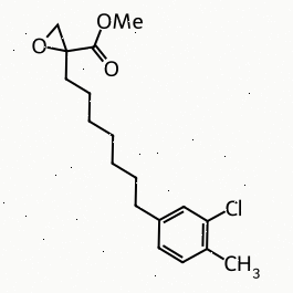 COC(=O)C1(CCCCCCCc2ccc(C)c(Cl)c2)CO1